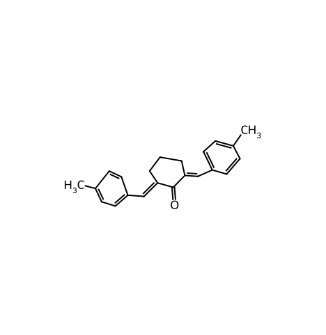 Cc1ccc(/C=C2\CCC/C(=C\c3ccc(C)cc3)C2=O)cc1